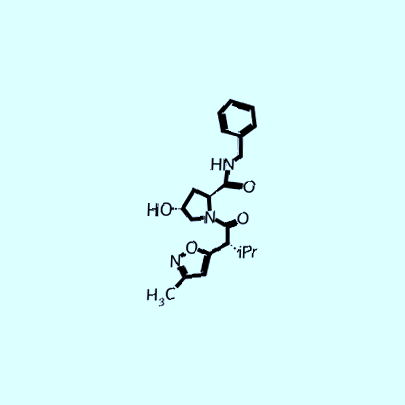 Cc1cc([C@H](C(=O)N2C[C@H](O)C[C@H]2C(=O)NCc2ccccc2)C(C)C)on1